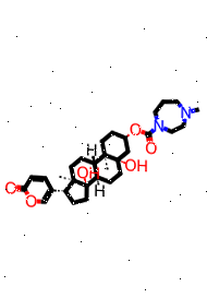 CN1CCCN(C(=O)O[C@H]2CC[C@]3(C)[C@H]4CC[C@]5(C)[C@@H](c6ccc(=O)oc6)CC[C@]5(O)[C@@H]4CC[C@]3(O)C2)CC1